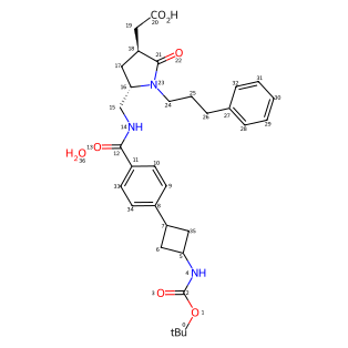 CC(C)(C)OC(=O)NC1CC(c2ccc(C(=O)NC[C@@H]3C[C@@H](CC(=O)O)C(=O)N3CCCc3ccccc3)cc2)C1.O